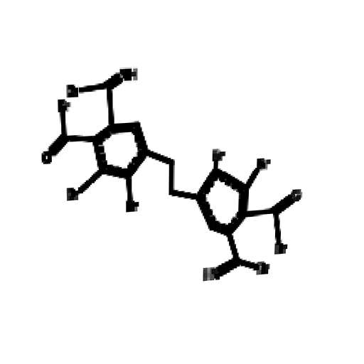 N=C(Br)c1cc(CCc2cc(C(=N)Br)c(C(=O)Br)c(Br)c2Br)c(Br)c(Br)c1C(=O)Br